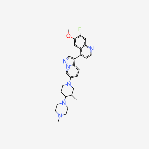 COc1cc2c(-c3cnn4cc(N5CCC(N6CCN(C)CC6)C(C)C5)ccc34)ccnc2cc1F